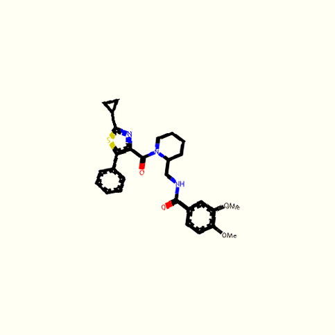 COc1ccc(C(=O)NCC2CCCCN2C(=O)c2nc(C3CC3)sc2-c2ccccc2)cc1OC